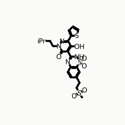 CC(C)CCn1nc(-c2cccs2)c(O)c(C2=Nc3ccc(CCS(C)(=O)=O)cc3S(=O)(=O)N2)c1=O